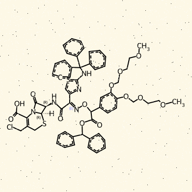 COCCOCOc1ccc(C(O/N=C(/C(=O)N[C@@H]2C(=O)N3C(C(=O)O)=C(CCl)CS[C@H]23)c2csc(NC(c3ccccc3)(c3ccccc3)c3ccccc3)n2)C(=O)OC(c2ccccc2)c2ccccc2)cc1OCOCCOC